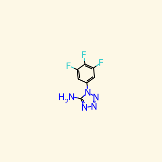 Nc1nnnn1-c1cc(F)c(F)c(F)c1